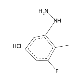 Cc1c(F)cccc1NN.Cl